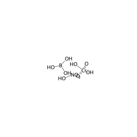 O=[N+]([O-])O.OB(O)O.[O]=[Cr](=[O])([OH])[OH]